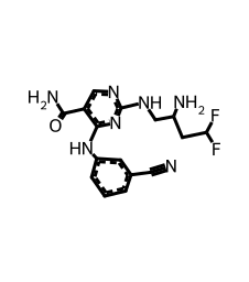 N#Cc1cccc(Nc2nc(NCC(N)CC(F)F)ncc2C(N)=O)c1